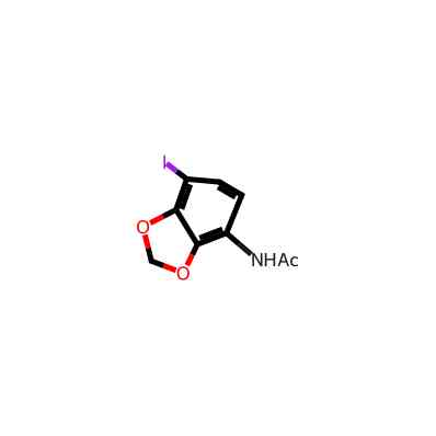 CC(=O)Nc1ccc(I)c2c1OCO2